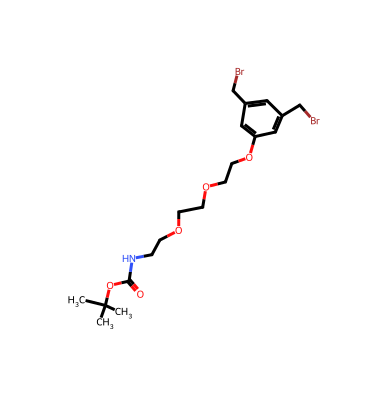 CC(C)(C)OC(=O)NCCOCCOCCOc1cc(CBr)cc(CBr)c1